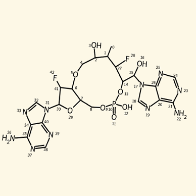 CC1C(O)COC2C(COP(=O)(O)OC(C(O)n3cnc4c(N)ncnc43)C1F)OC(n1cnc3c(N)ncnc31)C2F